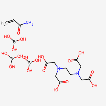 C=CC(N)=O.O=C(O)CN(CCN(CC(=O)O)CC(=O)O)CC(=O)O.OB(O)O.OB(O)O.OB(O)O